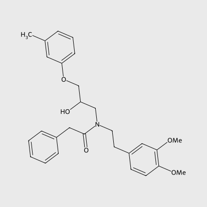 COc1ccc(CCN(CC(O)COc2cccc(C)c2)C(=O)Cc2ccccc2)cc1OC